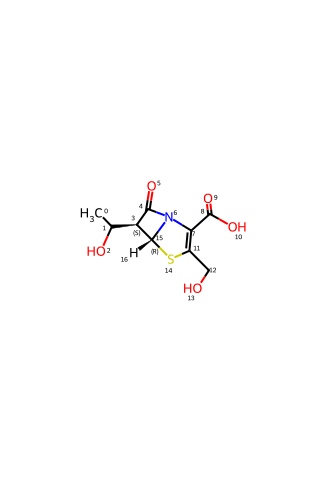 CC(O)[C@H]1C(=O)N2C(C(=O)O)=C(CO)S[C@H]12